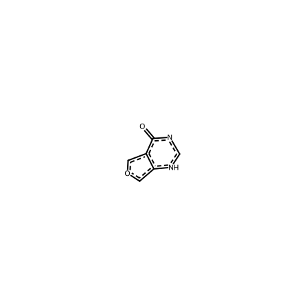 O=c1nc[nH]c2cocc12